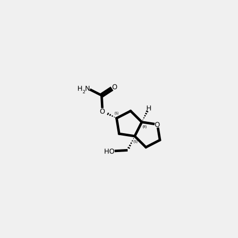 NC(=O)O[C@@H]1C[C@H]2OCC[C@@]2(CO)C1